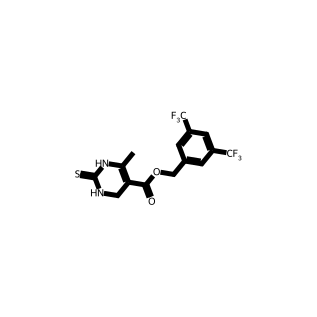 CC1=C(C(=O)OCc2cc(C(F)(F)F)cc(C(F)(F)F)c2)CNC(=S)N1